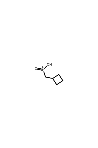 O=[PH](O)CC1CCC1